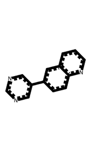 c1cnc2ccc(-c3cncnc3)cc2c1